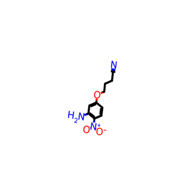 N#CCCCOc1ccc([N+](=O)[O-])c(N)c1